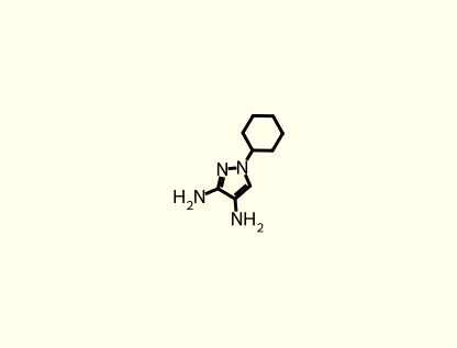 Nc1cn(C2CCCCC2)nc1N